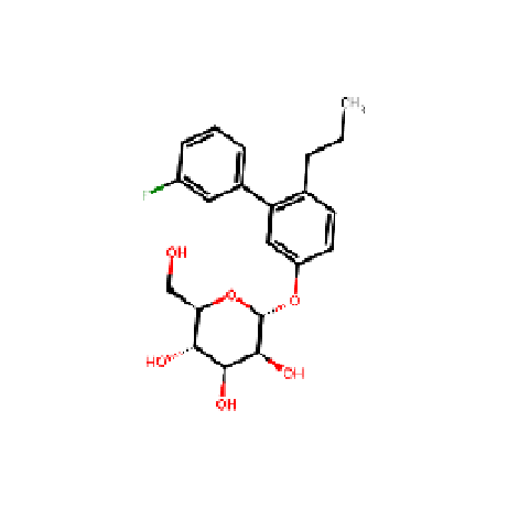 CCCc1ccc(O[C@H]2O[C@H](CO)[C@@H](O)[C@H](O)[C@@H]2O)cc1-c1cccc(F)c1